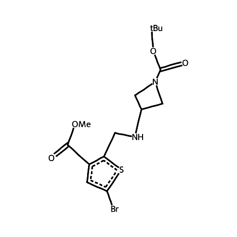 COC(=O)c1cc(Br)sc1CNC1CN(C(=O)OC(C)(C)C)C1